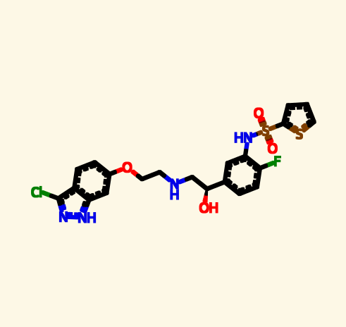 O=S(=O)(Nc1cc([C@@H](O)CNCCOc2ccc3c(Cl)n[nH]c3c2)ccc1F)c1cccs1